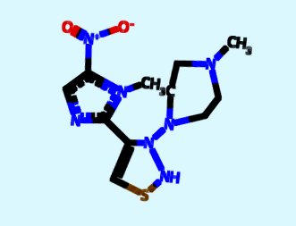 CN1CCN(N2NSC=C2c2ncc([N+](=O)[O-])n2C)CC1